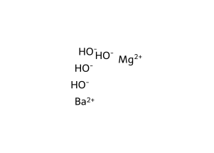 [Ba+2].[Mg+2].[OH-].[OH-].[OH-].[OH-]